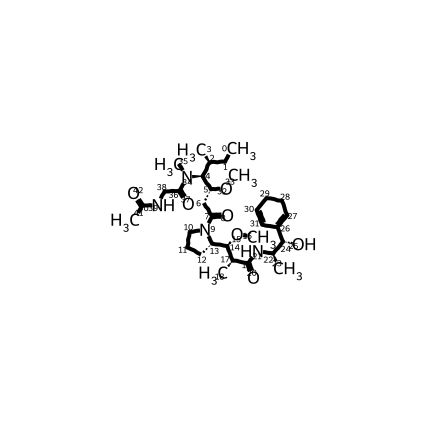 CC[C@H](C)[C@@H]([C@@H](CC(=O)N1CCC[C@H]1[C@H](OC)[C@@H](C)C(=O)N[C@H](C)[C@@H](O)C1=CCCC=C1)OC)N(C)C(=O)CNC(C)=O